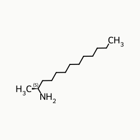 CCCCCCCCCCC[C@H](C)N